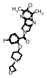 Cc1nc2c3c(nn2c(C)c1Cl)CN(C(=O)c1ccc(F)cc1OC1CCN(C2COC2)CC1)C3